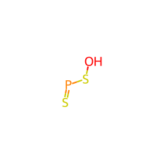 OSP=S